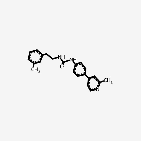 Cc1cccc(CCNC(=O)Nc2ccc(-c3ccnc(C)c3)cc2)c1